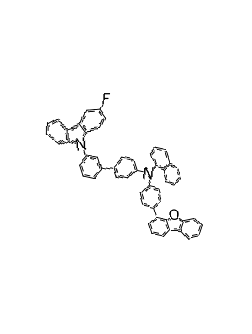 Fc1ccc2c(c1)c1ccccc1n2-c1cccc(-c2ccc(N(c3ccc(-c4cccc5c4oc4ccccc45)cc3)c3cccc4ccccc34)cc2)c1